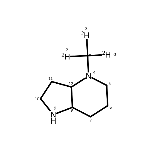 [2H]C([2H])([2H])N1CCCC2NCCC21